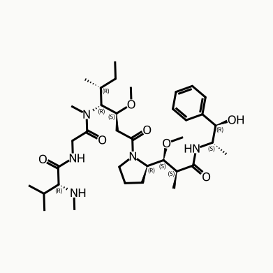 CC[C@@H](C)[C@H]([C@H](CC(=O)N1CCC[C@@H]1[C@@H](OC)[C@H](C)C(=O)N[C@@H](C)[C@H](O)c1ccccc1)OC)N(C)C(=O)CNC(=O)[C@H](NC)C(C)C